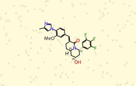 COc1cc(C=C2CC[C@@H]3C[C@@H](O)C[C@@H](c4cc(F)c(F)c(F)c4)N3C2=O)ccc1-n1cnc(C)c1